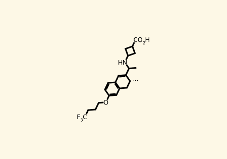 CC(NC1CC(C(=O)O)C1)C1=Cc2ccc(OCCCC(F)(F)F)cc2C[C@H]1C